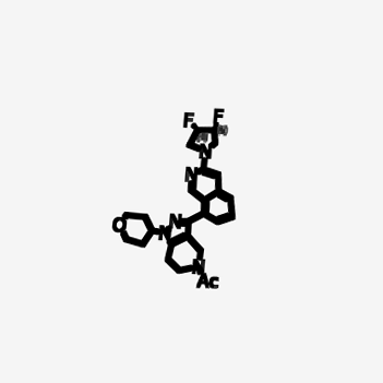 CC(=O)N1CCc2c(c(-c3cccc4cc(N5C[C@@H](F)[C@@H](F)C5)ncc34)nn2C2CCOCC2)C1